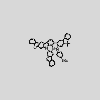 CC(C)(C)c1ccc(N2B3c4cc5c(cc4-n4c6cc7oc8ccccc8c7cc6c6ccc(c3c64)-c3cc4c(cc32)C(C)(C)c2ccccc2-4)sc2ccccc25)cc1